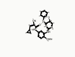 COc1ccc(NC(=O)/C(C#N)=C\C2CC2)cc1Nc1ncc(F)c(Oc2ccccc2)n1